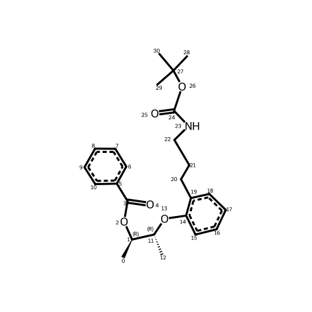 C[C@@H](OC(=O)c1ccccc1)[C@@H](C)Oc1ccccc1CCCNC(=O)OC(C)(C)C